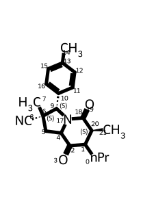 CCCC1C(=O)C2C[C@](C)(C#N)[C@H](c3ccc(C)cc3)N2C(=O)[C@H]1C